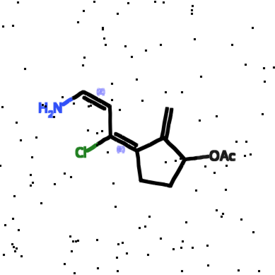 C=C1/C(=C(Cl)\C=C/N)CCC1OC(C)=O